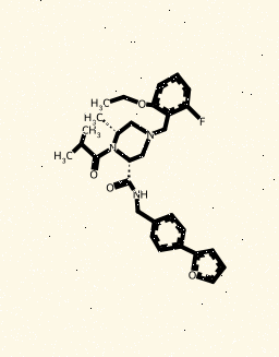 CCOc1cccc(F)c1CN1C[C@@H](C)N(C(=O)C(C)C)[C@@H](C(=O)NCc2ccc(-c3ccco3)cc2)C1